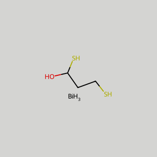 OC(S)CCS.[BiH3]